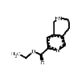 CCOC(=O)c1cc2c(cn1)CCNC2